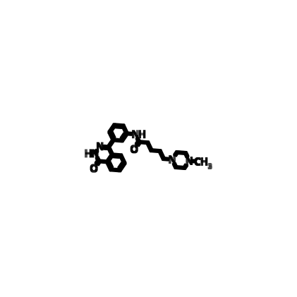 CN1CCN(CCCCC(=O)Nc2cccc(-c3n[nH]c(=O)c4ccccc34)c2)CC1